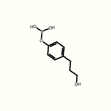 OCCCc1ccc(OB(O)O)cc1